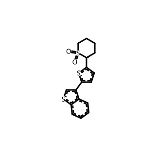 O=S1(=O)CCCC[C]1c1ccc(-c2csc3ccccc23)s1